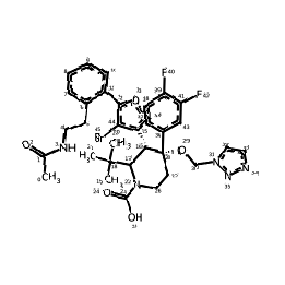 CC(=O)NCCc1ccccc1-c1onc([C@H]2C(C(C)(C)C)N(C(=O)O)CC[C@]2(OCn2ccnn2)c2ccc(F)c(F)c2)c1Br